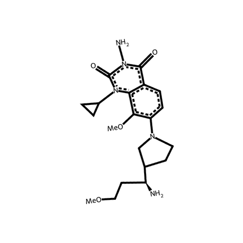 COCC[C@H](N)C1CCN(c2ccc3c(=O)n(N)c(=O)n(C4CC4)c3c2OC)C1